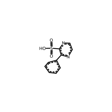 O=S(=O)(O)c1nccnc1-c1ccccc1